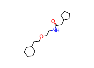 O=C(CC1CCCC1)NCCOCCC1CCCCC1